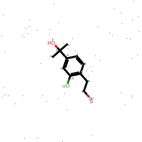 CC(C)(O)c1ccc(CCBr)c(Cl)c1